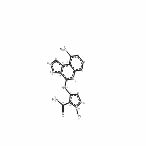 COc1cccc2nc(Nc3cnn(C(C)C)c3C(N)=O)c3[nH]ncc3c12